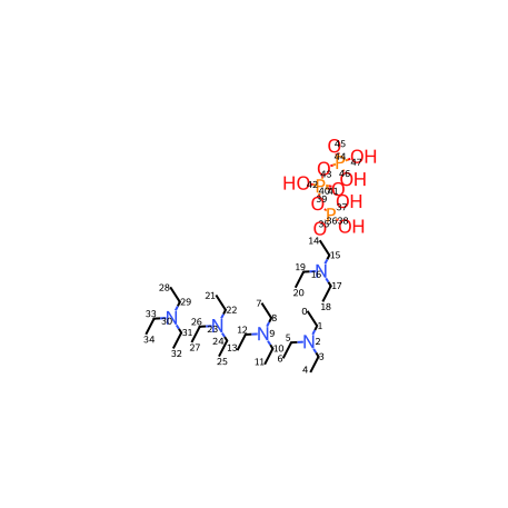 CCN(CC)CC.CCN(CC)CC.CCN(CC)CC.CCN(CC)CC.CCN(CC)CC.O=P(O)(O)OP(=O)(O)OP(=O)(O)O